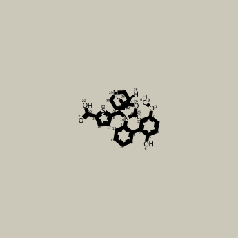 COc1ccc(O)c(-c2ccccc2N(Cc2ccc(C(=O)O)s2)C(=O)O[C@H]2CN3CCC2CC3)c1